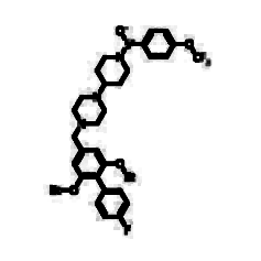 CCOc1cc(CN2CCN(C3CCN([S+]([O-])c4ccc(OC(F)(F)F)cc4)CC3)CC2)cc(OCC)c1-c1ccc(F)cc1